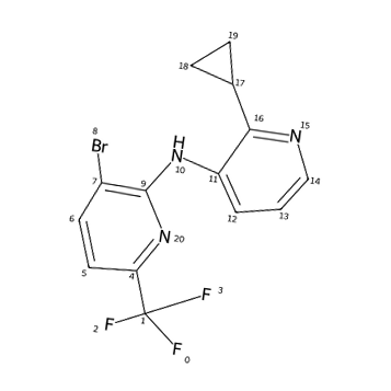 FC(F)(F)c1ccc(Br)c(Nc2cccnc2C2CC2)n1